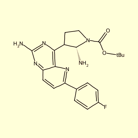 CC(C)(C)OC(=O)N1CCC(c2nc(N)nc3ccc(-c4ccc(F)cc4)nc23)[C@H]1N